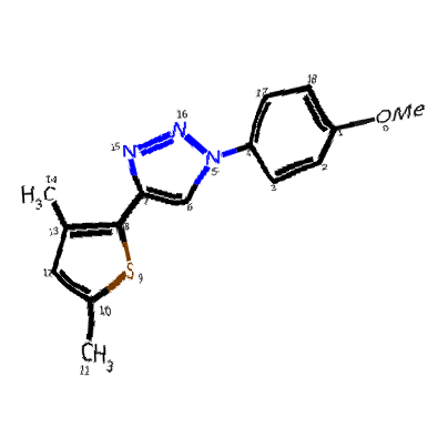 COc1ccc(-n2cc(-c3sc(C)cc3C)nn2)cc1